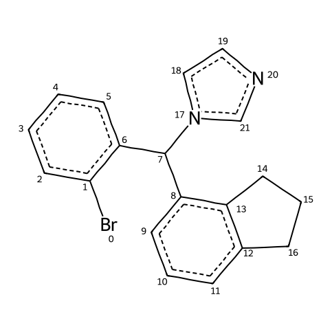 Brc1ccccc1C(c1cccc2c1CCC2)n1ccnc1